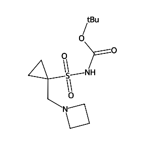 CC(C)(C)OC(=O)NS(=O)(=O)C1(CN2CCC2)CC1